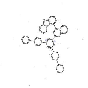 N/C(=N\C(=N/CC1C=CC(c2ccccc2)=CC1)c1cc(-c2cccc3oc4ccccc4c23)c2ccccc2c1)c1ccc(-c2ccccc2)cc1